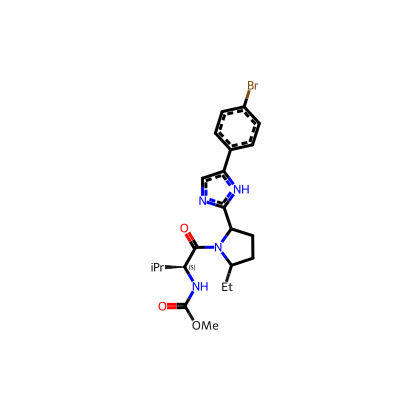 CCC1CCC(c2ncc(-c3ccc(Br)cc3)[nH]2)N1C(=O)[C@@H](NC(=O)OC)C(C)C